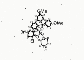 COc1ccc(C(OC[C@@H](CN2CCN(C)CC2)Oc2c(Cl)cc(Br)cc2Cl)(c2ccccc2)c2ccc(OC)cc2)cc1